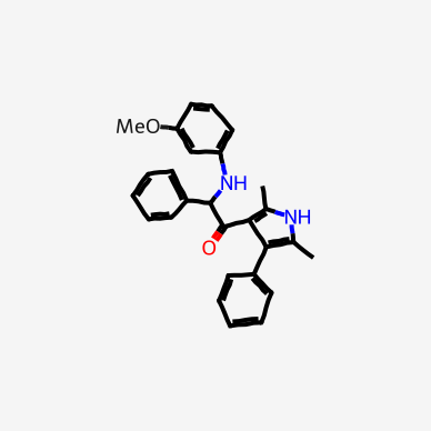 COc1cccc(NC(C(=O)c2c(C)[nH]c(C)c2-c2ccccc2)c2ccccc2)c1